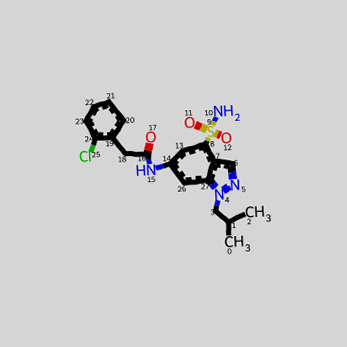 CC(C)Cn1ncc2c(S(N)(=O)=O)cc(NC(=O)Cc3ccccc3Cl)cc21